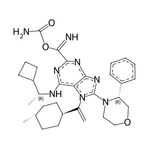 C=C([C@H]1CC[C@H](C)CC1)n1c(N2CCOC[C@H]2c2ccccc2)nc2nc(C(=N)OC(N)=O)nc(N[C@H](C)C3CCC3)c21